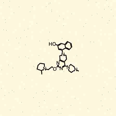 CC1CCCCN1CCOc1nc2c(c(N3CCN(C)CC3)n1)CCN(c1cc(O)cc3ccccc13)C2